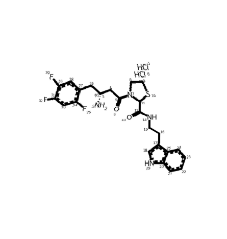 Cl.Cl.N[C@@H](CC(=O)N1CCSC1C(=O)NCCc1c[nH]c2ccccc12)Cc1cc(F)c(F)cc1F